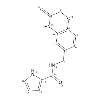 O=C1COc2ccc(CNC(=O)c3ccc[nH]3)cc2N1